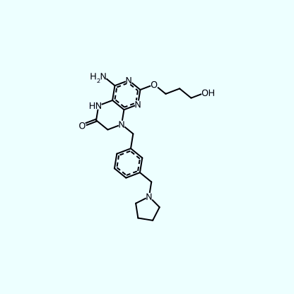 Nc1nc(OCCCO)nc2c1NC(=O)CN2Cc1cccc(CN2CCCC2)c1